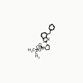 CC(C)(C)OC(=O)N1CCC[C@H]1c1nc2c(Cc3ccccc3)cccc2s1